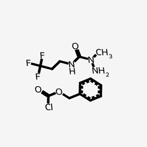 CN(N)C(=O)NCCC(F)(F)F.O=C(Cl)OCc1ccccc1